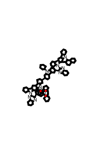 c1ccc(-n2c3ccc(-c4nc5ccccc5nc4-n4c5ccccc5c5cc6c7ccccc7n7c8c9ccccc9ccc8c(c54)c67)cc3c3ccc(-c4ccc5c6cc7c8ccccc8n(-c8nc9ccccc9nc8-c8ccc9c%10ccccc%10n(-c%10ccccc%10)c9c8)c7c7c8ccc9ccccc9c8n(c5c4)c67)cc32)cc1